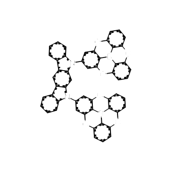 c1cc2c3c(c1)Oc1cc(-n4c5ccccc5c5cc6c7ccccc7n(-c7cc8c9c(c7)Oc7cccc%10c7B9c7c(cccc7O8)O%10)c6cc54)cc4c1B3c1c(cccc1O4)O2